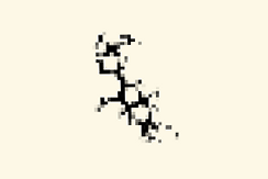 CC1(C)O[C@H]2O[C@H]([C@H]3COC(C)(C)O3)[C@H](N)[C@H]2O1